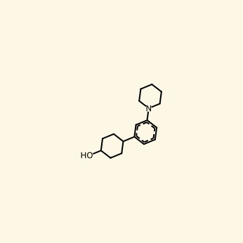 OC1CCC(c2cccc(N3CCCCC3)c2)CC1